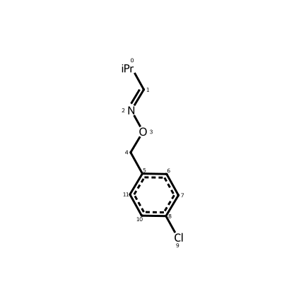 CC(C)C=NOCc1ccc(Cl)cc1